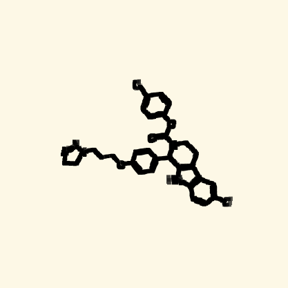 O=C(Oc1ccc(Cl)cc1)N1CCc2c([nH]c3ccc(Cl)cc23)C1c1ccc(OCCCN2CCN=N2)cc1